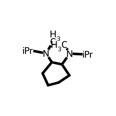 CC(C)N(C)C1CCCCC1N(C)C(C)C